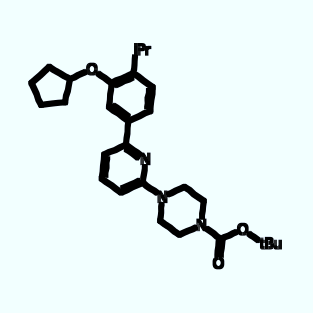 CC(C)c1ccc(-c2cccc(N3CCN(C(=O)OC(C)(C)C)CC3)n2)cc1OC1CCCC1